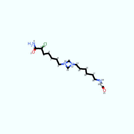 NC(=O)C(Cl)CCCCCN1CN(CCCCCCN=C=O)C1